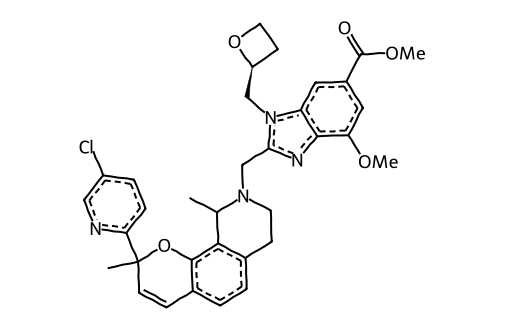 COC(=O)c1cc(OC)c2nc(CN3CCc4ccc5c(c4C3C)OC(C)(c3ccc(Cl)cn3)C=C5)n(C[C@@H]3CCO3)c2c1